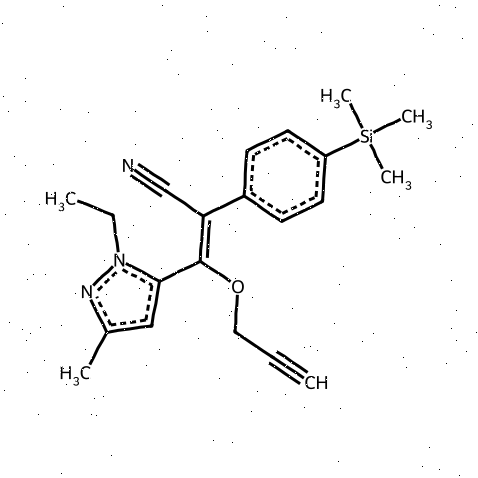 C#CCOC(=C(C#N)c1ccc([Si](C)(C)C)cc1)c1cc(C)nn1CC